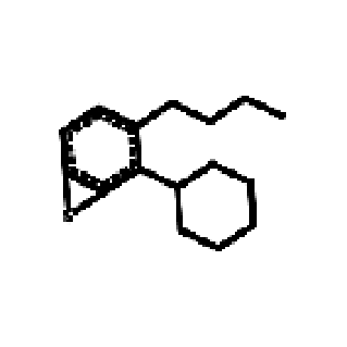 CCCCc1ccc2c(c1C1CCCCC1)S2